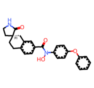 O=C(c1ccc2c(c1)C[C@@]1(CCNC1=O)CC2)N(O)c1ccc(Oc2ccccc2)cc1